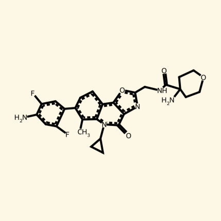 Cc1c(-c2cc(F)c(N)cc2F)ccc2c3oc(CNC(=O)C4(N)CCOCC4)nc3c(=O)n(C3CC3)c12